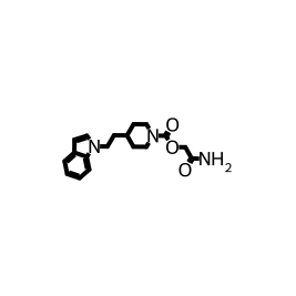 NC(=O)COC(=O)N1CCC(CCn2ccc3ccccc32)CC1